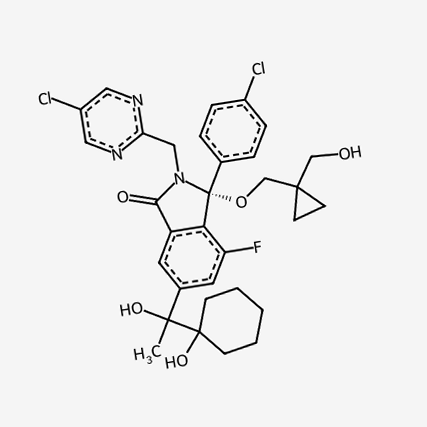 CC(O)(c1cc(F)c2c(c1)C(=O)N(Cc1ncc(Cl)cn1)[C@@]2(OCC1(CO)CC1)c1ccc(Cl)cc1)C1(O)CCCCC1